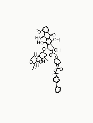 COc1cccc2c1C(=N)c1c(O)c3c(c(O)c1C2=O)C[C@@](O)(C(=O)CN1CCN(C(=O)OC(C)(C)c2ccc(-c4ccccc4)cc2)CC1)C[C@@H]3O[C@H]1C[C@H]2[C@H](O[C@@H]3[C@@H](OC)OCCN32)[C@H](C)O1